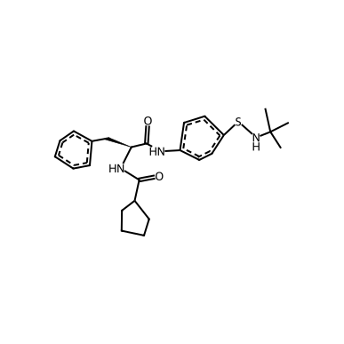 CC(C)(C)NSc1ccc(NC(=O)[C@H](Cc2ccccc2)NC(=O)C2CCCC2)cc1